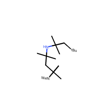 CNC(C)(C)CC(C)(C)NC(C)(C)CC(C)(C)C